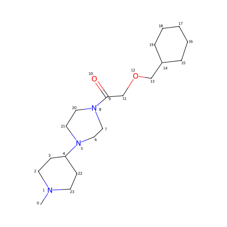 CN1CCC(N2CCN(C(=O)COCC3CCCCC3)CC2)CC1